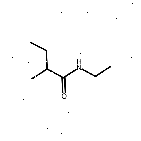 CCNC(=O)C(C)CC